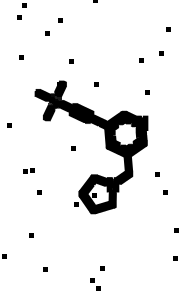 C[Si](C)(C)C#Cc1cncc(CN2CCCC2)c1